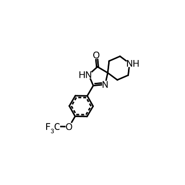 O=C1NC(c2ccc(OC(F)(F)F)cc2)=NC12CCNCC2